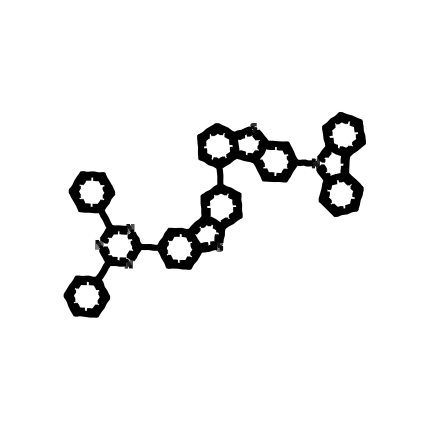 c1ccc(-c2nc(-c3ccccc3)nc(-c3ccc4sc5ccc(-c6cccc7sc8cc(-n9c%10ccccc%10c%10ccccc%109)ccc8c67)cc5c4c3)n2)cc1